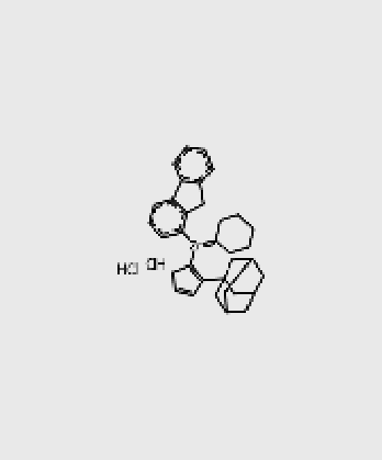 C1=CC(C23CC4CC(CC(C4)C2)C3)=[C]([Zr](=[C]2CCCCC2)[c]2cccc3c2Cc2ccccc2-3)C1.Cl.Cl